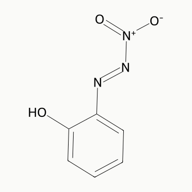 O=[N+]([O-])/N=N/c1ccccc1O